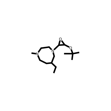 CCC1CCN(C)CCN(C2OC2OC(C)(C)C)C1